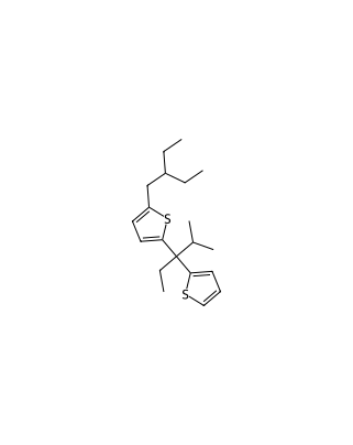 CCC(CC)Cc1ccc(C(CC)(c2cccs2)C(C)C)s1